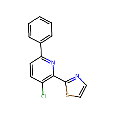 Clc1ccc(-c2ccccc2)nc1-c1nccs1